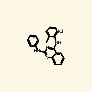 Cc1ccccc1Nc1nc(Nc2ccccc2)nc2ccccc12.Cl